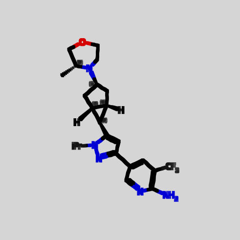 CC(C)n1nc(-c2cnc(N)c(C(F)(F)F)c2)cc1[C@H]1[C@@H]2C[C@@H](N3CCOC[C@H]3C)C[C@@H]21